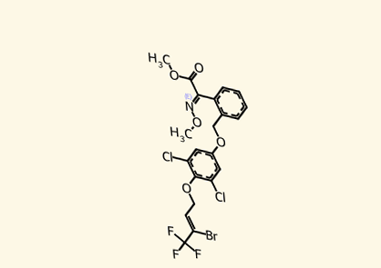 CO/N=C(/C(=O)OC)c1ccccc1COc1cc(Cl)c(OCC=C(Br)C(F)(F)F)c(Cl)c1